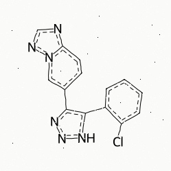 Clc1ccccc1-c1[nH]nnc1-c1ccc2ncnn2c1